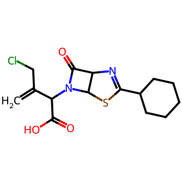 C=C(CCl)C(C(=O)O)N1C(=O)C2N=C(C3CCCCC3)SC21